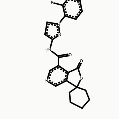 O=C(Nc1ccn(-c2ccccc2F)n1)c1cncc2c1C(=O)OC21CCCCC1